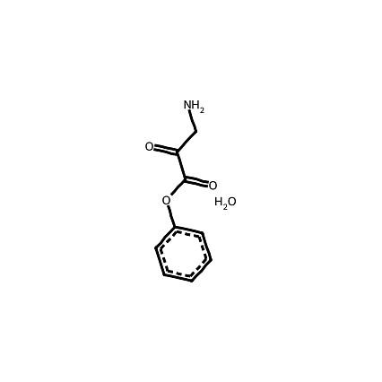 NCC(=O)C(=O)Oc1ccccc1.O